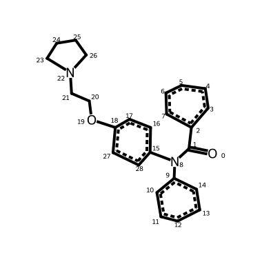 O=C(c1ccccc1)N(c1ccccc1)c1ccc(OCCN2CCCC2)cc1